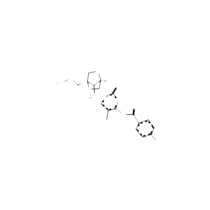 CCCCOC[C@@]12CO[C@@H](C1OCCCC)[C@H](n1cc(C)c(OC(=O)c3ccc(C)cc3)nc1=S)O2